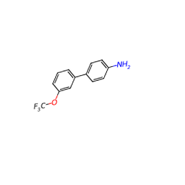 Nc1ccc(-c2cccc(OC(F)(F)F)c2)cc1